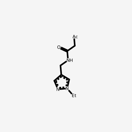 CCn1cc(CNC(=O)CC(C)=O)cn1